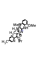 COc1cccc(OC)c1N/C(=N/S(=O)(=O)[C@@H](C)[C@@H](OC(C)C)c1ncc(C)cn1)NN